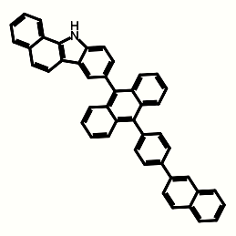 c1ccc2cc(-c3ccc(-c4c5ccccc5c(-c5ccc6[nH]c7c8ccccc8ccc7c6c5)c5ccccc45)cc3)ccc2c1